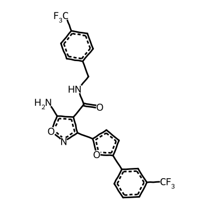 Nc1onc(-c2ccc(-c3cccc(C(F)(F)F)c3)o2)c1C(=O)NCc1ccc(C(F)(F)F)cc1